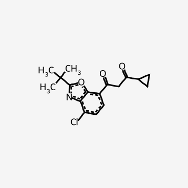 CC(C)(C)c1nc2c(Cl)ccc(C(=O)CC(=O)C3CC3)c2o1